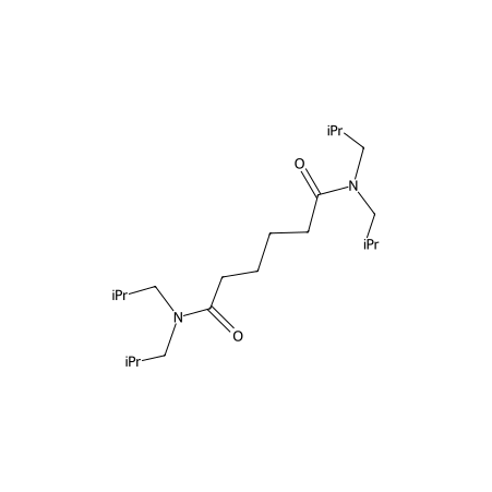 CC(C)CN(CC(C)C)C(=O)CCCCC(=O)N(CC(C)C)CC(C)C